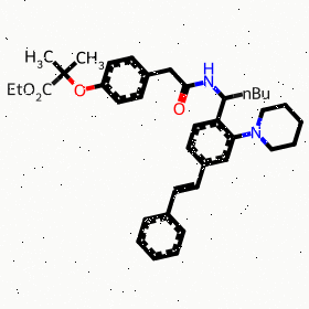 CCCCC(NC(=O)Cc1ccc(OC(C)(C)C(=O)OCC)cc1)c1ccc(C=Cc2ccccc2)cc1N1CCCCC1